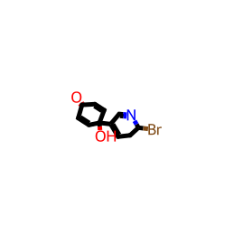 O=C1C=CC(O)(C2=CCC(Br)N=C2)C=C1